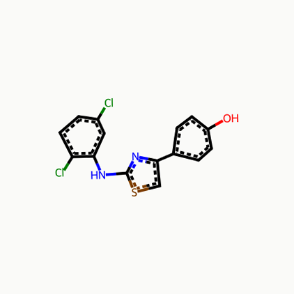 Oc1ccc(-c2csc(Nc3cc(Cl)ccc3Cl)n2)cc1